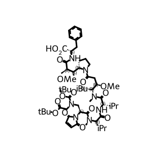 CC[C@H](C)[C@H]([C@@H](CC(=O)N1CCC[C@H]1[C@@H](OC)[C@@H](C)C(=O)N[C@@H](Cc1ccccc1)C(=O)O)OC)N(C)C(=O)[C@@H](NC(=O)[C@@H](C(C)C)N(C)C(=O)[C@H](CN(CC(=O)OC(C)(C)C)C(=O)OC(C)(C)C)N1C(=O)C=CC1=O)C(C)C